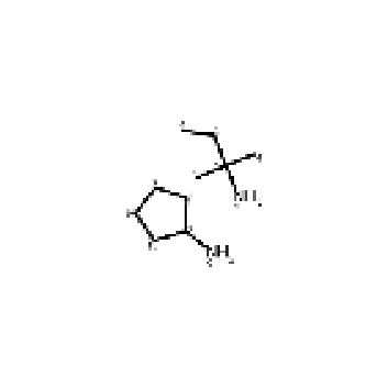 CCC(C)(C)N.NC1CCCC1